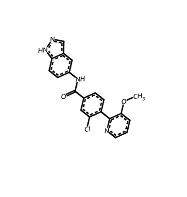 COc1cccnc1-c1ccc(C(=O)Nc2ccc3[nH]ncc3c2)cc1Cl